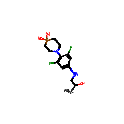 O=C(O)[C@H](O)CNc1cc(F)c(N2CCS(O)(O)CC2)c(F)c1